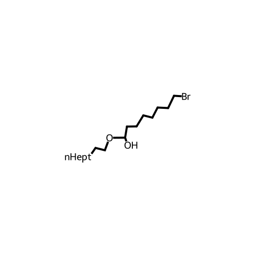 CCCCCCCCCOC(O)CCCCCCCBr